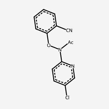 CC(=O)N(Oc1ccccc1C#N)c1ccc(Cl)cn1